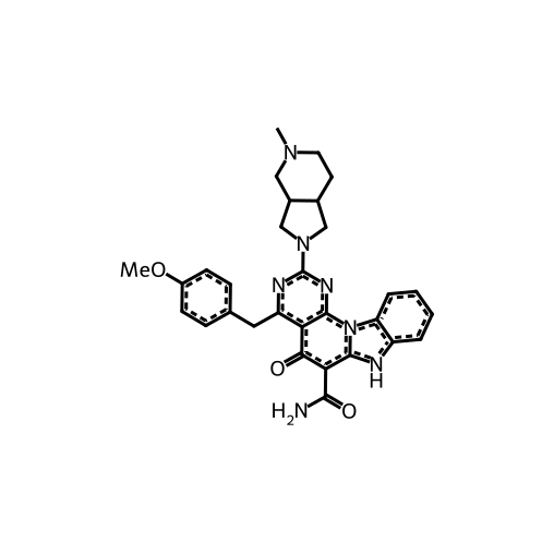 COc1ccc(Cc2nc(N3CC4CCN(C)CC4C3)nc3c2c(=O)c(C(N)=O)c2[nH]c4ccccc4n23)cc1